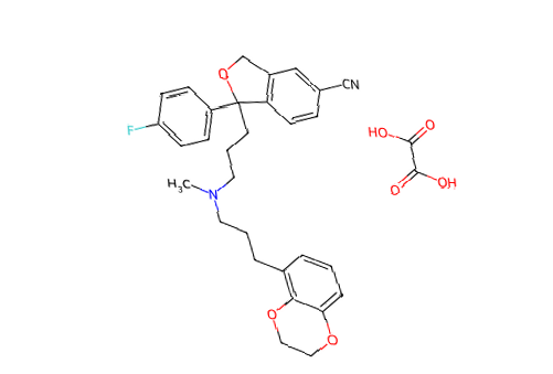 CN(CCCc1cccc2c1OCCO2)CCCC1(c2ccc(F)cc2)OCc2cc(C#N)ccc21.O=C(O)C(=O)O